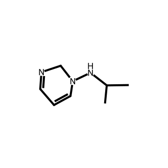 CC(C)NN1C=CC=NC1